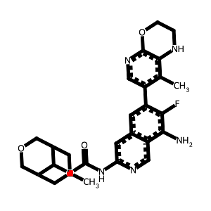 Cc1c(-c2cc3cc(NC(=O)OC4C5COCC4CN(C)C5)ncc3c(N)c2F)cnc2c1NCCO2